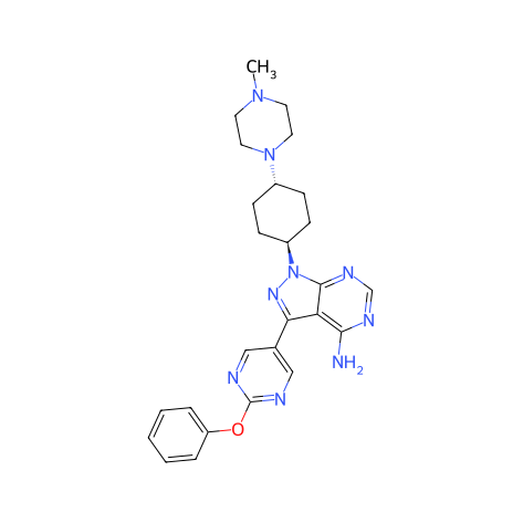 CN1CCN([C@H]2CC[C@H](n3nc(-c4cnc(Oc5ccccc5)nc4)c4c(N)ncnc43)CC2)CC1